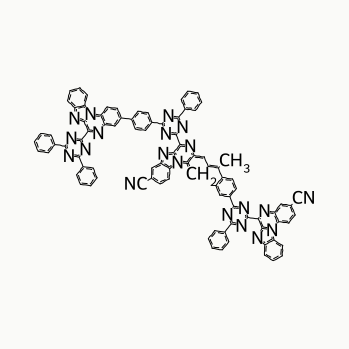 C=c1/c(=C\C=C(/C)c2ccc(-c3nc(-c4ccccc4)nc(-c4nc5cc(C#N)ccc5n5c4nc4ccccc45)n3)cc2)nc(-c2nc(-c3ccccc3)nc(-c3ccc(-c4ccc5c(c4)nc(-c4nc(-c6ccccc6)nc(-c6ccccc6)n4)c4nc6ccccc6n45)cc3)n2)c2nc3cc(C#N)ccc3n12